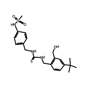 CC(C)(C)c1ccc(CNC(=S)NCc2ccc(NS(C)(=O)=O)cc2)c(CO)c1